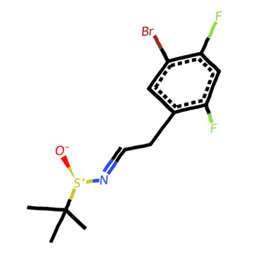 CC(C)(C)[S@@+]([O-])N=CCc1cc(Br)c(F)cc1F